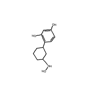 ONC1CCCC(c2ccc(O)cc2O)C1